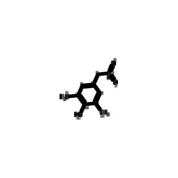 Cc1cc(C[SH](=O)=O)cc(C)c1O